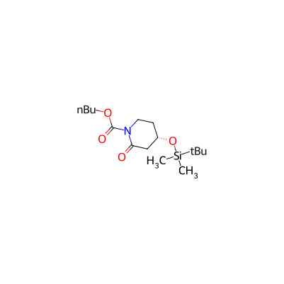 CCCCOC(=O)N1CC[C@H](O[Si](C)(C)C(C)(C)C)CC1=O